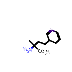 CC(N)(CCC1C=IC=CC1)C(=O)O